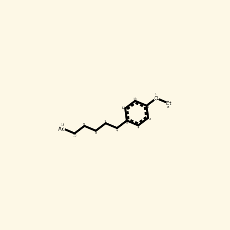 CCOc1ccc(CCCCCC(C)=O)cc1